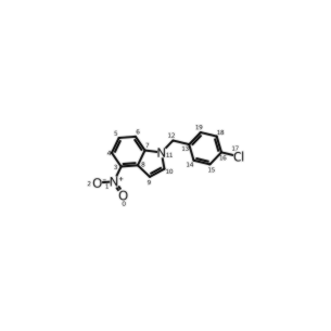 O=[N+]([O-])c1cccc2c1ccn2Cc1ccc(Cl)cc1